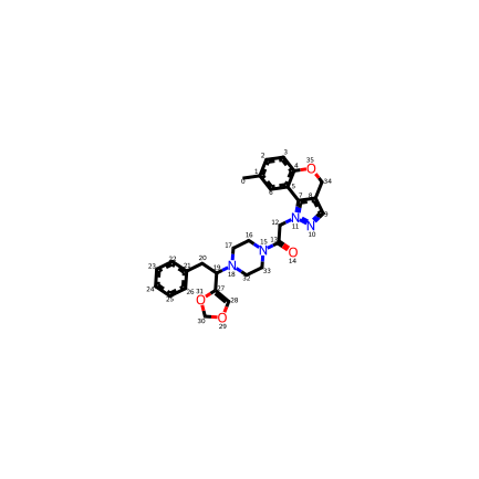 Cc1ccc2c(c1)-c1c(cnn1CC(=O)N1CCN(C(Cc3ccccc3)C3=COCO3)CC1)CO2